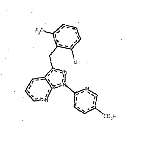 O=C(O)c1ccc(-n2nc(Cc3c(Cl)cccc3C(F)(F)F)c3cccnc32)nc1